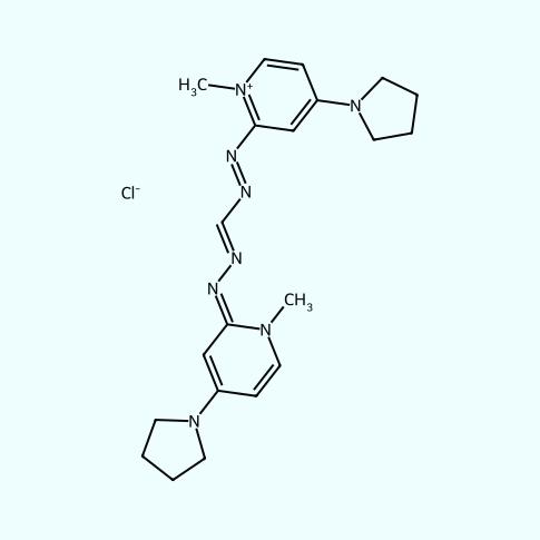 Cn1ccc(N2CCCC2)cc1=NN=CN=Nc1cc(N2CCCC2)cc[n+]1C.[Cl-]